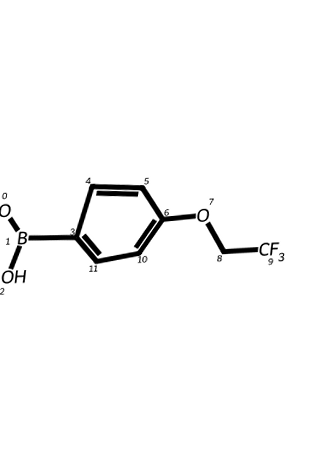 OB(O)c1ccc(OCC(F)(F)F)cc1